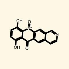 O=C1c2cc3ccncc3cc2[N+](=O)c2c(O)ccc(O)c21